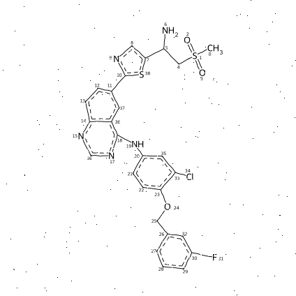 CS(=O)(=O)CC(N)c1cnc(-c2ccc3ncnc(Nc4ccc(OCc5cccc(F)c5)c(Cl)c4)c3c2)s1